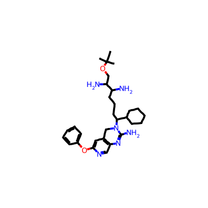 CC(C)(C)OCC(N)C(N)CCCC(C1CCCCC1)N1Cc2cc(Oc3ccccc3)ncc2N=C1N